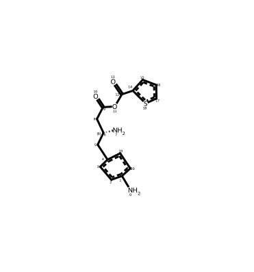 Nc1ccc(C[C@@H](N)CC(=O)OC(=O)c2cccs2)cc1